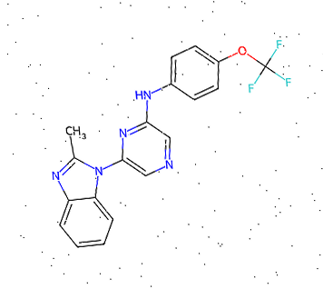 Cc1nc2ccccc2n1-c1cncc(Nc2ccc(OC(F)(F)F)cc2)n1